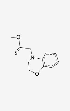 COC(=S)CN1CCOc2ccccc21